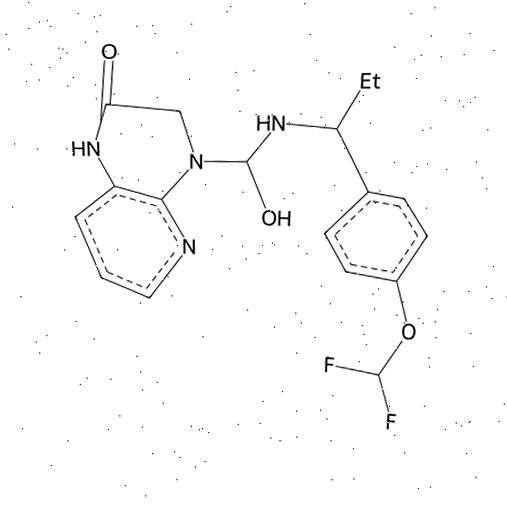 CCC(NC(O)N1CC(=O)Nc2cccnc21)c1ccc(OC(F)F)cc1